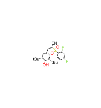 CC(C)(C)c1cc(/C=C(/C#N)S(=O)(=O)c2ccc(F)cc2F)cc(C(C)(C)C)c1O